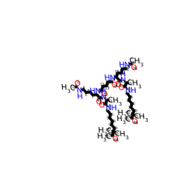 CC(=O)NCCCCC(NC(=O)CCCC(=O)NC(CCCCNC(C)=O)C(=O)NC(C)C(=O)NCCCCCCC(C)(C)C(C)=O)C(=O)NC(C)C(=O)NCCCCCCC(C)(C)C(C)=O